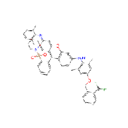 Cc1cccc(C)c1/N=c1\ccc2c(-c3ccccc3S(=O)(=O)N3CCCCC3)c3ccc(Nc4c(C)cc(OCc5ccccc5B(F)F)cc4C)cc3oc-2c1